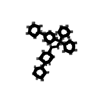 c1ccc(-c2ccc(CC[Si](c3ccccc3)(c3ccccc3)c3ccc(-c4ccccc4)cc3)cc2)cc1